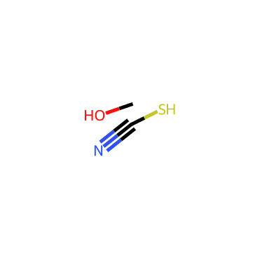 CO.N#CS